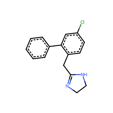 Clc1ccc(CC2=NCCN2)c(-c2ccccc2)c1